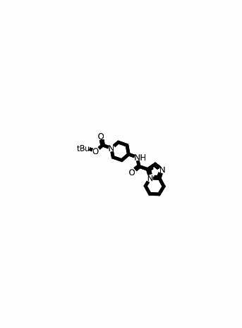 CC(C)(C)OC(=O)N1CCC(NC(=O)c2cnc3n2CCCC3)CC1